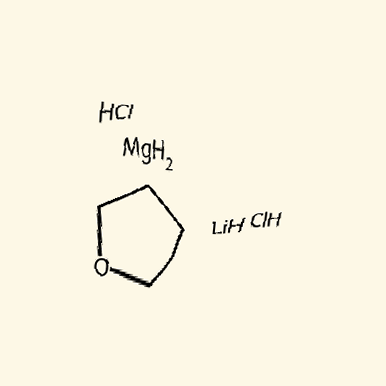 C1CCOC1.Cl.Cl.[LiH].[MgH2]